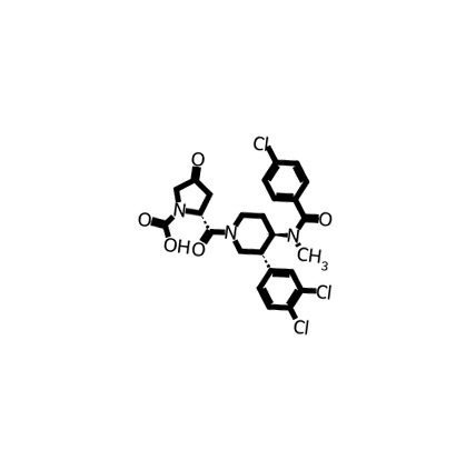 CN(C(=O)c1ccc(Cl)cc1)[C@@H]1CCN(C(=O)[C@H]2CC(=O)CN2C(=O)O)C[C@H]1c1ccc(Cl)c(Cl)c1